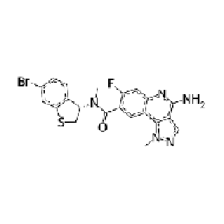 CN(C(=O)c1cc2c(cc1F)nc(N)c1cnn(C)c12)[C@@H]1CSc2cc(Br)ccc21